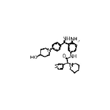 N=C(c1ccc(N2CCC(O)CC2)cc1)c1cc(NC(=O)C(c2ccsc2)N2CCCCC2)ccc1N